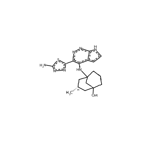 C[C@H]1CC2(O)CCCC(Nc3c(-c4nnc(N)s4)nnc4[nH]ccc34)(C1)C2